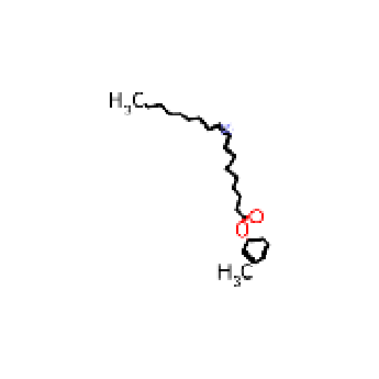 CCCCCCCC/C=C\CCCCCCCC(=O)Oc1cccc(C)c1